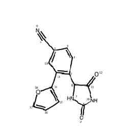 N#Cc1ccc(C2NC(=O)NC2=O)c(-c2ccco2)c1